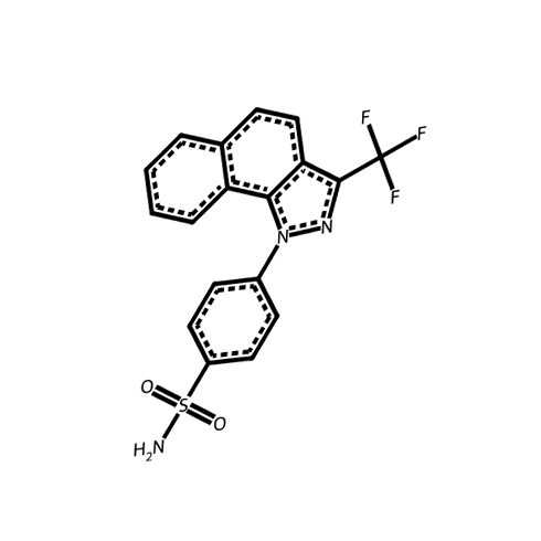 NS(=O)(=O)c1ccc(-n2nc(C(F)(F)F)c3ccc4ccccc4c32)cc1